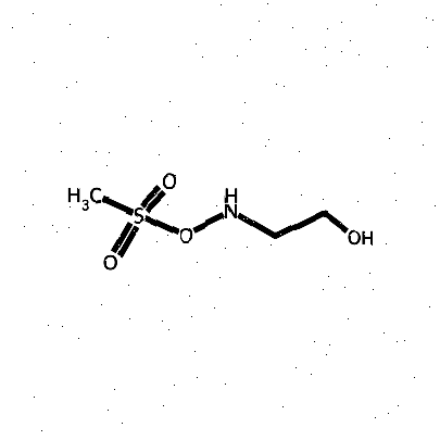 CS(=O)(=O)ONCCO